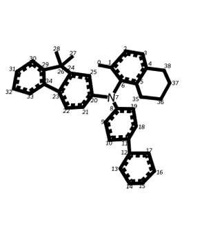 Cc1ccc2c(c1N(c1ccc(-c3ccccc3)cc1)c1ccc3c(c1)C(C)(C)c1ccccc1-3)CCCC2